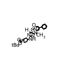 CN(c1ccnc(NC2CCN(C(=O)OC(C)(C)C)CC2)n1)c1cc(-c2ccccc2)cc(=O)n1C